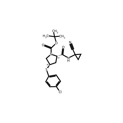 CC(C)(C)OC(=O)N1C[C@H](Sc2ccc(Cl)cc2)C[C@H]1C(=O)NC1(C#N)CC1